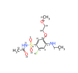 CCNc1cc(F)c(S(=O)(=O)NC(C)=O)cc1OCCOC